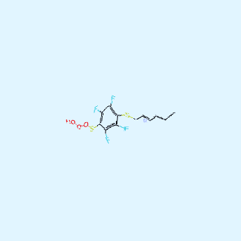 CCC/C=C/CSc1c(F)c(F)c(SOOO)c(F)c1F